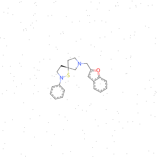 c1ccc(N2CC[C@]3(CCN(Cc4cc5ccccc5o4)C3)S2)cc1